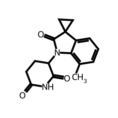 Cc1cccc2c1N(C1CCC(=O)NC1=O)C(=O)C21CC1